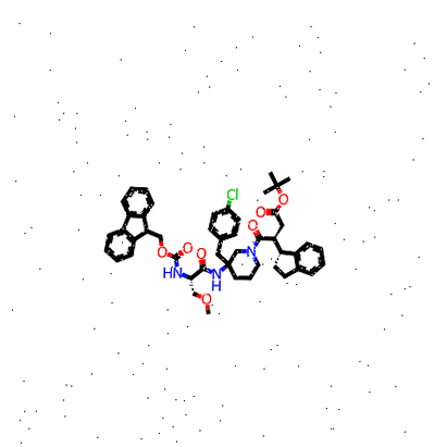 COC[C@H](NC(=O)OCC1c2ccccc2-c2ccccc21)C(=O)NC1(Cc2ccc(Cl)cc2)CCCN(C(=O)[C@@H](CC(=O)OC(C)(C)C)[C@H]2CCc3ccccc32)C1